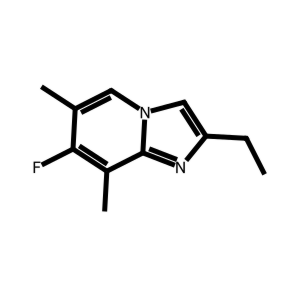 CCc1cn2cc(C)c(F)c(C)c2n1